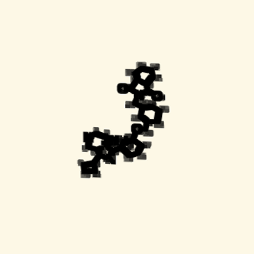 N[N+]12C=CN=CC1=C(C1=CC=C1)N=C2c1cccc(OCc2cccc(CN3C(=O)c4ccccc4C3=O)c2)c1